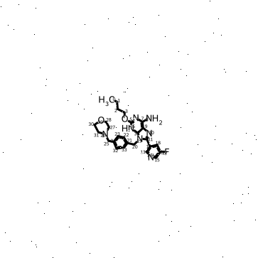 CCCCOC1=NC(N)=C2N=C(c3cncc(F)c3)N(Cc3ccc(CN4CCOCC4)cc3)C2N1